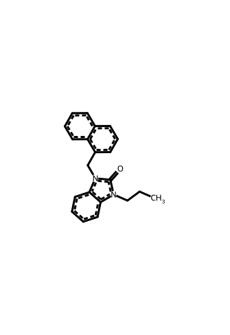 CCCn1c(=O)n(Cc2cccc3ccccc23)c2ccccc21